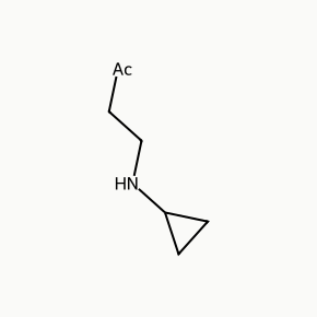 CC(=O)CCNC1CC1